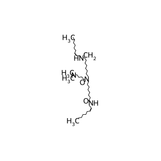 C=C(CCCCCCCN(CCCCCCCC(=O)NC/C=C\CCCCCC)C(=O)CCCN(C)C)NC/C=C\CCCCCC